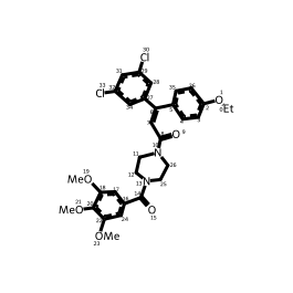 CCOc1ccc(/C(=C\C(=O)N2CCN(C(=O)c3cc(OC)c(OC)c(OC)c3)CC2)c2cc(Cl)cc(Cl)c2)cc1